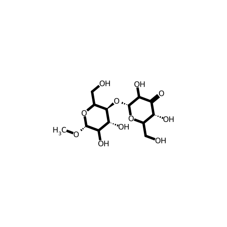 CO[C@@H]1OC(CO)[C@@H](O[C@H]2OC(CO)[C@@H](O)C(=O)C2O)[C@H](O)C1O